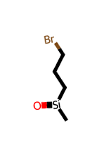 C[Si](=O)CCCBr